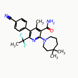 Cc1c(C(N)=O)c(N2CCCC(C)(C)CC2)nc(C(C)(F)F)c1-c1ccc(C#N)cc1